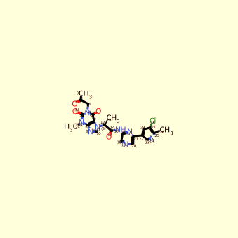 CC(=O)Cn1c(=O)c2c(ncn2[C@@H](C)C(=O)Nc2cncc(-c3cnc(C)c(Cl)c3)n2)n(C)c1=O